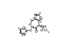 CNC1C(=O)N(Cc2ncco2)CCc2ncoc21